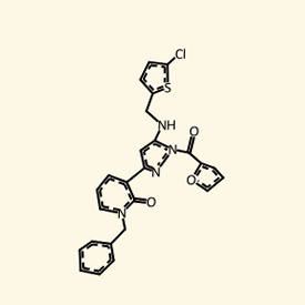 O=C(c1ccco1)n1nc(-c2cccn(Cc3ccccc3)c2=O)cc1NCc1ccc(Cl)s1